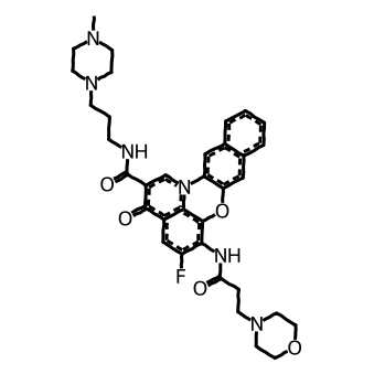 CN1CCN(CCCNC(=O)c2cn3c4c(c(NC(=O)CCN5CCOCC5)c(F)cc4c2=O)Oc2cc4ccccc4cc2-3)CC1